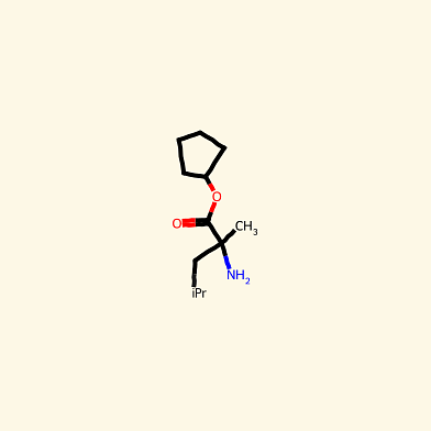 CC(C)CC(C)(N)C(=O)OC1CCCC1